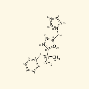 C[C@@](N)(Cc1ccccc1)c1nnc(Cn2cncn2)o1